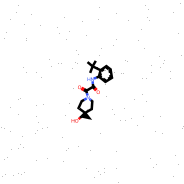 CC(C)(C)c1ccccc1NC(=O)C(=O)N1CCC2(C=C2O)CC1